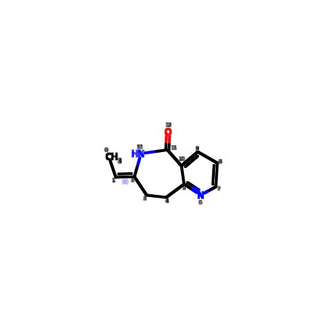 C/C=C1/CCc2ncccc2C(=O)N1